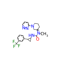 CN(C(=O)NC1CC1c1cccc(C(F)(F)F)c1)[C@@H]1CCCN(c2cccnn2)C1